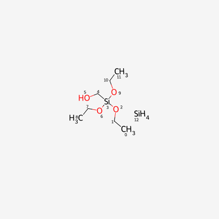 CCO[Si](CO)(OCC)OCC.[SiH4]